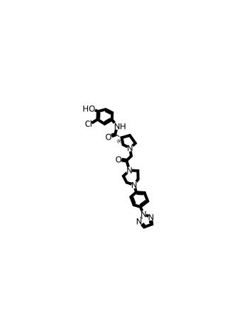 O=C(Nc1ccc(O)c(Cl)c1)[C@@H]1CCN(CC(=O)N2CCN(c3ccc(-n4nccn4)cc3)CC2)C1